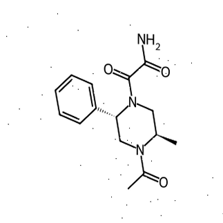 CC(=O)N1C[C@H](c2ccccc2)N(C(=O)C(N)=O)C[C@H]1C